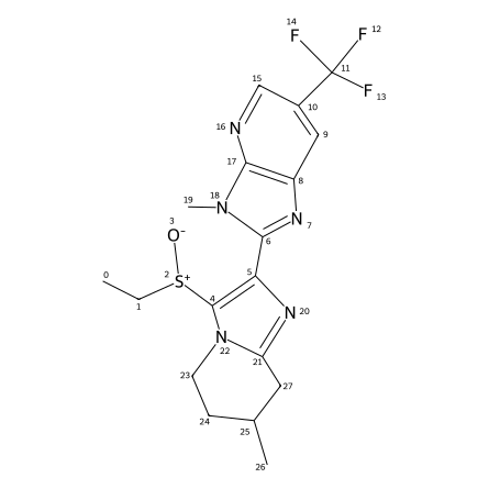 CC[S+]([O-])c1c(-c2nc3cc(C(F)(F)F)cnc3n2C)nc2n1CCC(C)C2